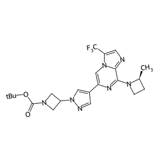 C[C@H]1CCN1c1nc(-c2cnn(C3CN(C(=O)OC(C)(C)C)C3)c2)cn2c(C(F)(F)F)cnc12